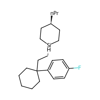 CCC[C@H]1CC[Si@H](CCC2(c3ccc(F)cc3)CCCCC2)CC1